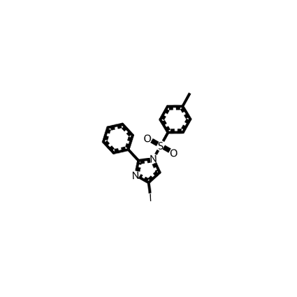 Cc1ccc(S(=O)(=O)n2cc(I)nc2-c2ccccc2)cc1